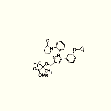 COC(=O)C(C)(C)OCc1cc(-c2cccc(OC3CC3)c2)n(-c2ccccc2N2CCCC2=O)n1